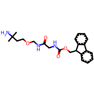 CC(C)(N)CCOCNC(=O)CNC(=O)OCC1c2ccccc2-c2ccccc21